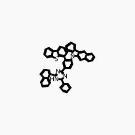 c1ccc(C2N=C(c3ccc(-n4c5ccccc5c5cc6ccccc6cc54)c(-c4cccc5c4sc4ccccc45)c3)N=C(c3cccc4ccccc34)N2)cc1